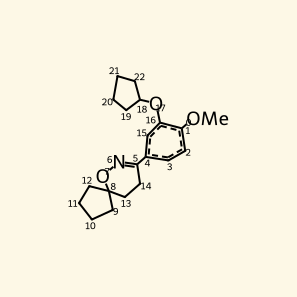 COc1ccc(C2=NOC3(CCCC3)CC2)cc1OC1CCCC1